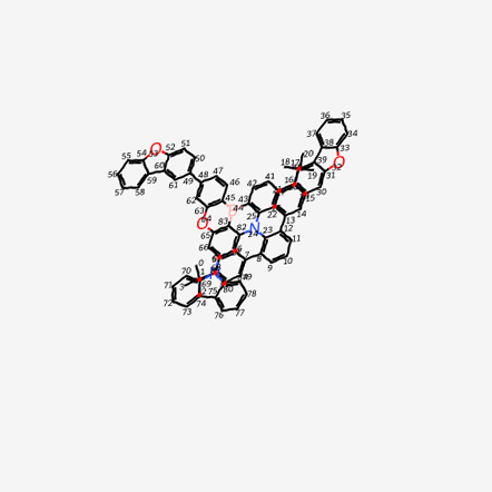 CC(C)(C)c1ccc(-c2cccc(-c3ccc(C(C)(C)C)cc3)c2N2c3cc(-c4ccc5oc6ccccc6c5c4)ccc3B3c4ccc(-c5ccc6oc7ccccc7c6c5)cc4Oc4cc(-n5c6ccccc6c6ccccc65)cc2c43)cc1